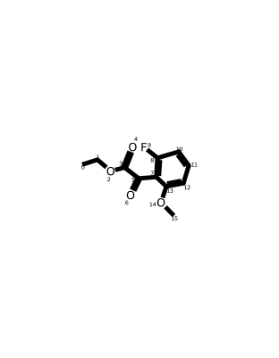 CCOC(=O)C(=O)c1c(F)cccc1OC